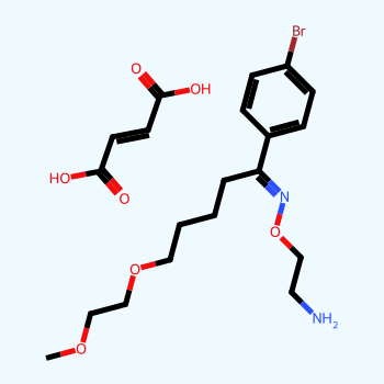 COCCOCCCCC(=NOCCN)c1ccc(Br)cc1.O=C(O)/C=C/C(=O)O